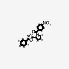 O=C(c1ccc([N+](=O)[O-])cc1)N1CCCC1c1nnc(-c2ccccc2)o1